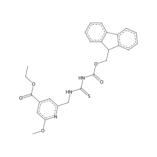 CCOC(=O)c1cc(CNC(=S)NC(=O)OCC2c3ccccc3-c3ccccc32)nc(OC)c1